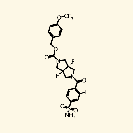 NS(=O)(=O)c1ccc(C(=O)N2C[C@@H]3CN(C(=O)OCc4ccc(OC(F)(F)F)cc4)C[C@@]3(F)C2)c(F)c1